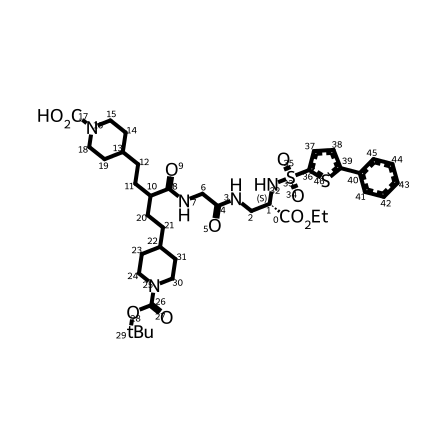 CCOC(=O)[C@H](CNC(=O)CNC(=O)C(CCC1CCN(C(=O)O)CC1)CCC1CCN(C(=O)OC(C)(C)C)CC1)NS(=O)(=O)c1ccc(-c2ccccc2)s1